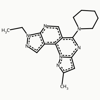 CCn1ncc2c1ncc1c(N3CCCCC3)nc3cc(C)nn3c12